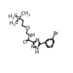 C[Si](C)(C)CCOCNC(=O)c1n[nH]c(-c2cccc(Br)c2)n1